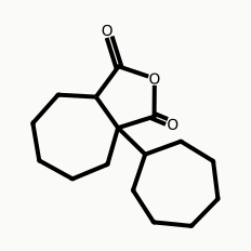 O=C1OC(=O)C2(C3CCCCCC3)CCCCCC12